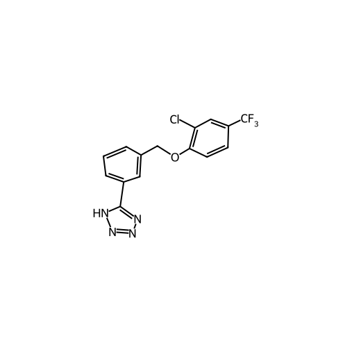 FC(F)(F)c1ccc(OCc2cccc(-c3nnn[nH]3)c2)c(Cl)c1